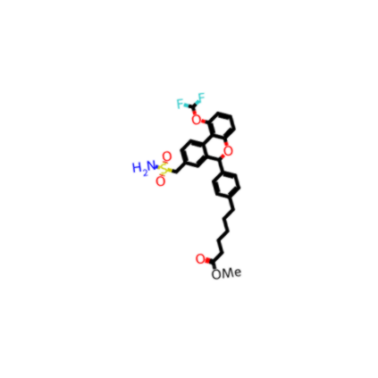 COC(=O)CCCCCc1ccc(C2Oc3cccc(OC(F)F)c3-c3ccc(CS(N)(=O)=O)cc32)cc1